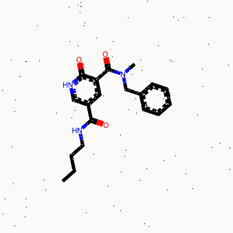 CCCCNC(=O)c1c[nH]c(=O)c(C(=O)N(C)Cc2ccccc2)c1